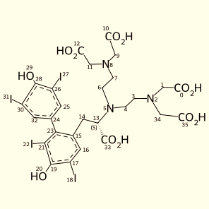 O=C(O)CN(CCN(CCN(CC(=O)O)CC(=O)O)[C@@H](Cc1cc(I)c(O)c(I)c1-c1cc(I)c(O)c(I)c1)C(=O)O)CC(=O)O